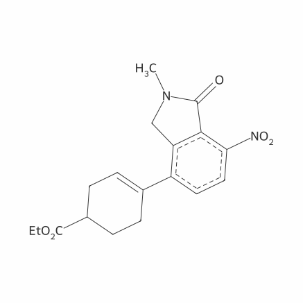 CCOC(=O)C1CC=C(c2ccc([N+](=O)[O-])c3c2CN(C)C3=O)CC1